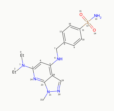 CCN(CC)c1cc(NCc2ccc(S(N)(=O)=O)cc2)c2cnn(C)c2n1